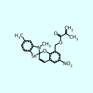 C=C(C)C(=O)OCc1cc([N+](=O)[O-])cc2c1OC1(C=C2)[Se]c2ccc(C)cc2N1C